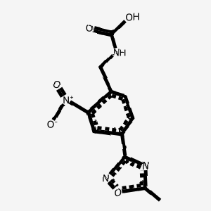 Cc1nc(-c2ccc(CNC(=O)O)c([N+](=O)[O-])c2)no1